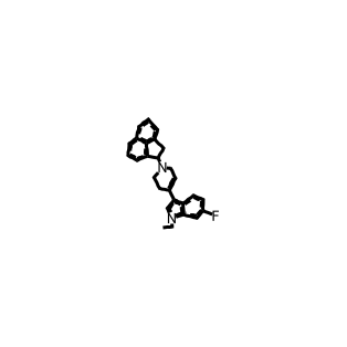 CCn1cc(C2=CCN(C3Cc4cccc5cccc3c45)CC2)c2ccc(F)cc21